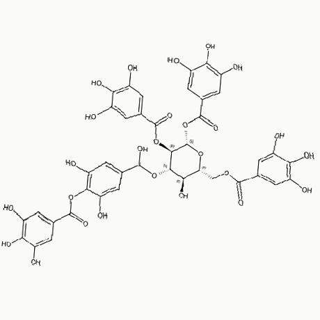 O=C(OC[C@H]1O[C@@H](OC(=O)c2cc(O)c(O)c(O)c2)[C@H](OC(=O)c2cc(O)c(O)c(O)c2)[C@@H](OC(O)c2cc(O)c(OC(=O)c3cc(O)c(O)c(O)c3)c(O)c2)[C@@H]1O)c1cc(O)c(O)c(O)c1